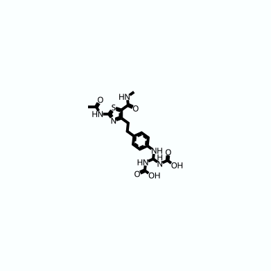 CNC(=O)c1sc(NC(C)=O)nc1CCc1ccc(NC(NC(=O)O)NC(=O)O)cc1